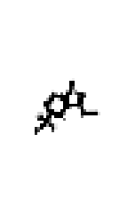 CCc1cn(C)c2ccc(C(F)(F)F)cc12